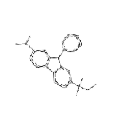 CCC(C)(C)c1ccc2c(c1)C(c1ccccc1)c1cc(C(C)C)ccc1-2